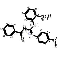 CCOc1ccc(/N=C(/NC(=O)c2ccccc2)Nc2ccccc2S(=O)(=O)O)cc1